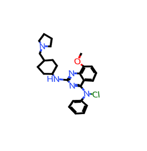 COc1cccc2c(N(Cl)c3ccccc3)nc(NC3CCC(CN4CCCC4)CC3)nc12